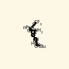 CCCN(OCCOCC(F)(F)F)C(=O)C1=Cc2ccc(-c3cnc(CNC(=O)OC(C)(C)C)nc3)cc2N=C(N)C1